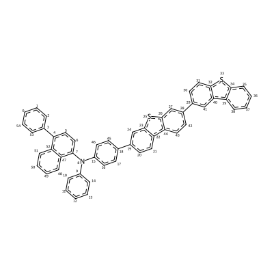 c1ccc(-c2ccc(N(c3ccccc3)c3ccc(-c4ccc5c(c4)sc4cc(-c6ccc7sc8ccccc8c7c6)ccc45)cc3)c3ccccc23)cc1